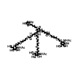 COP(=O)(O)OCCCCCCNC(=O)[C@H](CCCCNC(=O)COCCOCCOCCO[C@@H]1O[C@H](CO)[C@H](O)[C@H](O)[C@H]1NC(C)=O)NC(=O)[C@H](CCCCNC(=O)COCCOCCOCCO[C@@H]1O[C@H](CO)[C@H](O)[C@H](O)[C@H]1NC(C)=O)NC(=O)COCCOCCOCCO[C@@H]1O[C@H](CO)[C@H](O)[C@H](O)[C@H]1NC(C)=O